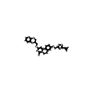 O=c1nc(OCC2COc3ncccc3O2)cc2n1CCc1cc(OCc3noc(C4CC4)n3)ccc1-2